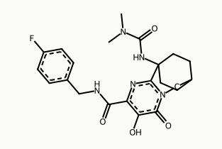 CN(C)C(=O)NC12CCC(CC1)Cn1c2nc(C(=O)NCc2ccc(F)cc2)c(O)c1=O